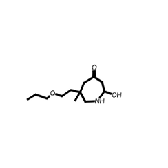 CCCOCCC1(C)CNC(O)CC(=O)C1